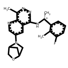 Cc1c(F)cccc1[C@@H](C)Nc1nnc(C)c2ncc(N3CC4CC3CO4)cc12